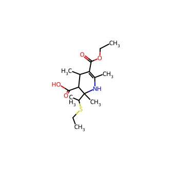 CCOC(=O)C1=C(C)NC(C)(C(C)SCC)C(C(=O)O)C1C